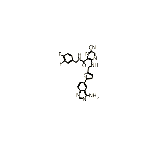 N#Cc1cnc(NCc2ccc(-c3ccc4ncnc(N)c4c3)s2)c(C(=O)NCc2ccc(F)c(F)c2)n1